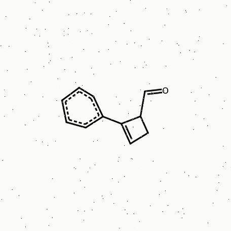 O=CC1CC=C1c1ccccc1